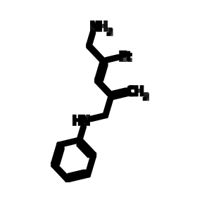 C=C(/C=C(\CC)CN)CNc1ccccc1